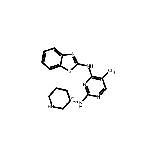 FC(F)(F)c1cnc(N[C@H]2CCCNC2)nc1Nc1nc2ccccc2s1